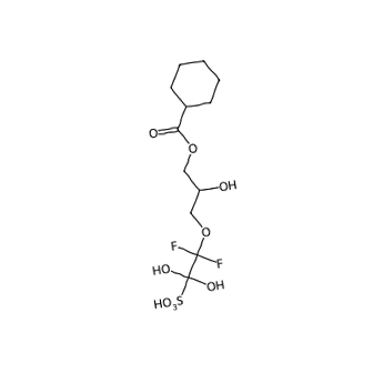 O=C(OCC(O)COC(F)(F)C(O)(O)S(=O)(=O)O)C1CCCCC1